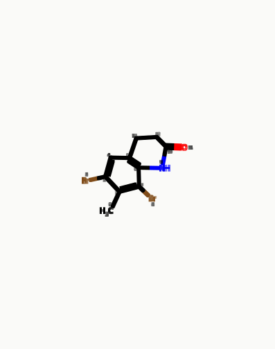 Cc1c(Br)cc2c(c1Br)NC(=O)CC2